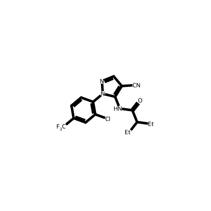 CCC(CC)C(=O)Nc1c(C#N)cnn1-c1ccc(C(F)(F)F)cc1Cl